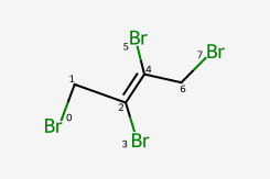 BrC/C(Br)=C(\Br)CBr